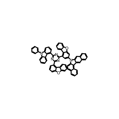 c1ccc(-n2c3ccccc3c3c(-c4nc(-c5cccc6oc7ccccc7c56)nc(-c5cc(-n6c7cc8ccccc8cc7c7c8ccccc8ccc76)cc6oc7ccccc7c56)n4)cccc32)cc1